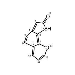 O=C1Bc2c3c(ccc2=C1)=CC=CO3